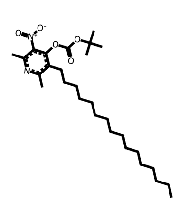 CCCCCCCCCCCCCCCCc1c(C)nc(C)c([N+](=O)[O-])c1OC(=O)OC(C)(C)C